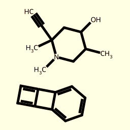 C#CC1(C)CC(O)C(C)CN1C.c1ccc2c3ccc-3c2c1